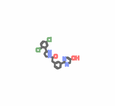 O=C(Cc1cccc(-c2ncc(O)cn2)c1)N1CCC(c2cc(Cl)ccc2Cl)=N1